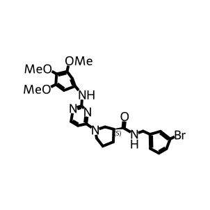 COc1cc(Nc2nccc(N3CCC[C@H](C(=O)NCc4cccc(Br)c4)C3)n2)cc(OC)c1OC